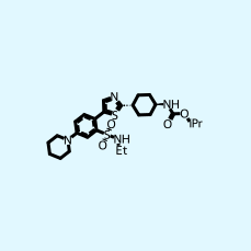 CCNS(=O)(=O)c1cc(N2CCCCC2)ccc1-c1cnc([C@H]2CC[C@H](NC(=O)OC(C)C)CC2)s1